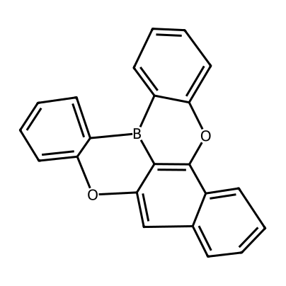 c1ccc2c(c1)Oc1cc3ccccc3c3c1B2c1ccccc1O3